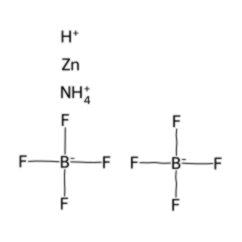 F[B-](F)(F)F.F[B-](F)(F)F.[H+].[NH4+].[Zn]